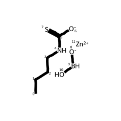 CCCCNC([O-])=S.[O-]BO.[Zn+2]